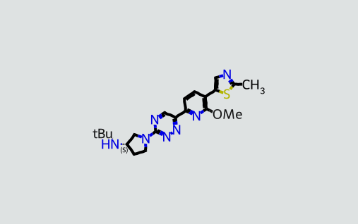 COc1nc(-c2cnc(N3CC[C@H](NC(C)(C)C)C3)nn2)ccc1-c1cnc(C)s1